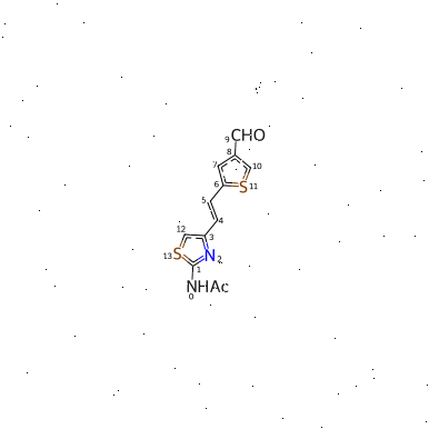 CC(=O)Nc1nc(/C=C/c2cc(C=O)cs2)cs1